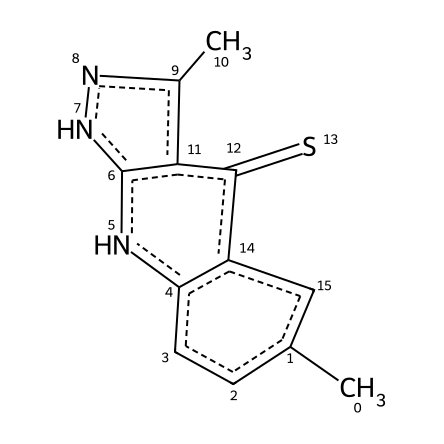 Cc1ccc2[nH]c3[nH]nc(C)c3c(=S)c2c1